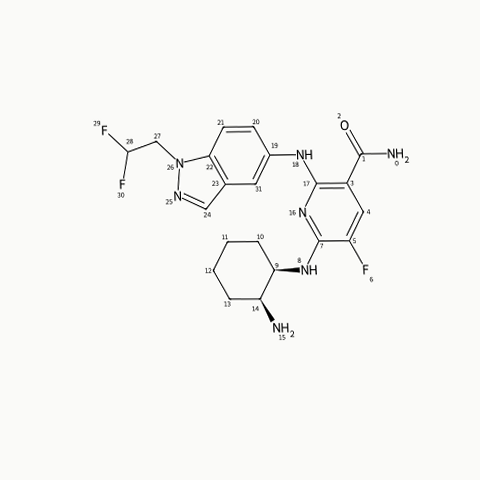 NC(=O)c1cc(F)c(N[C@@H]2CCCC[C@@H]2N)nc1Nc1ccc2c(cnn2CC(F)F)c1